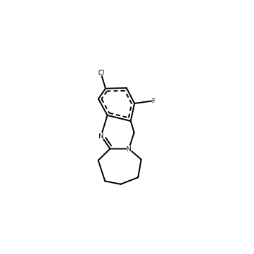 Fc1cc(Cl)cc2c1CN1CCCCCC1=N2